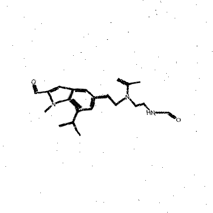 C=C(C)N(CCNC=O)CCc1cc(C(C)C)c2c(c1)cc(C=O)n2C